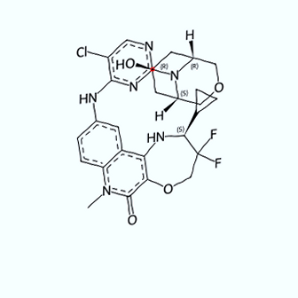 Cn1c(=O)c2c(c3cc(Nc4nc(N5[C@@H]6COC[C@H]5C[C@H](O)C6)ncc4Cl)ccc31)N[C@@H](C1CC1)C(F)(F)CO2